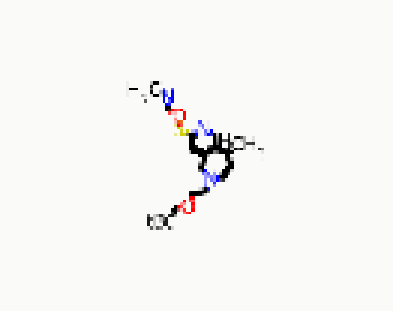 C=NCOSC1=NC[C@H]2C(=C1)CN(CCOCC(C)(C)C)C=CC2C